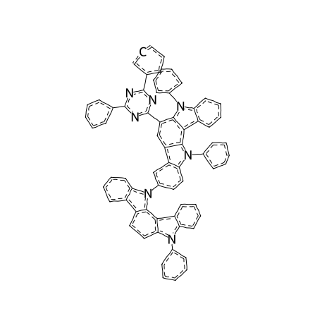 c1ccc(-c2nc(-c3ccccc3)nc(-c3cc4c5cc(-n6c7ccccc7c7ccc8c(c9ccccc9n8-c8ccccc8)c76)ccc5n(-c5ccccc5)c4c4c5ccccc5n(-c5ccccc5)c34)n2)cc1